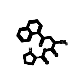 CC(CC(=O)c1cccc2ccccc12)C(=O)OC(=O)[C@@H]1CCCN1